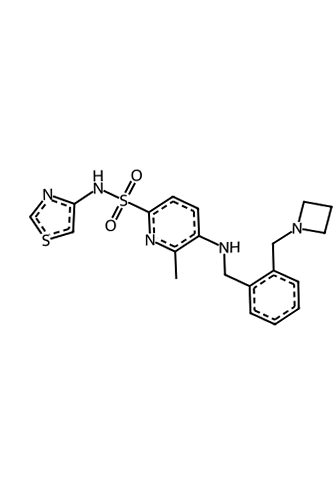 Cc1nc(S(=O)(=O)Nc2cscn2)ccc1NCc1ccccc1CN1CCC1